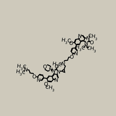 COc1cc2ncc3c(c2cc1-c1ccc(OCCCN(C)CC2CC2n2c(=O)n(N4CCOCC4)c4c5cc(-c6ccc(OCCCN(C)C)nc6)c(OC)cc5ncc42)nc1)n(N(C)C)c(=O)n3C